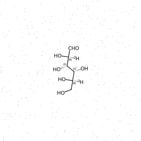 [2H][C@](O)(C=O)[C@@H](O)[C@H](O)[C@]([2H])(O)CO